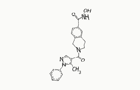 Cc1c(C(=O)N2CCc3cc(C(=O)NO)ccc3C2)cnn1-c1ccccc1